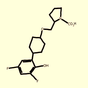 O=C(O)N1CCCC1COC1CCC(c2cc(F)cc(F)c2O)CC1